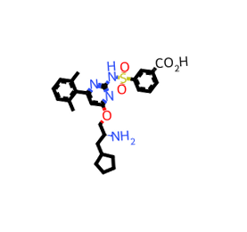 Cc1cccc(C)c1-c1cc(OC[C@H](N)CC2CCCC2)nc(NS(=O)(=O)c2cccc(C(=O)O)c2)n1